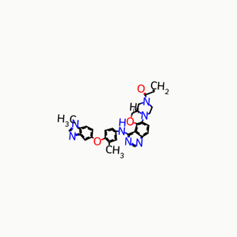 C=CC(=O)N1CCN2c3ccc4ncnc(Nc5ccc(Oc6ccc7c(c6)ncn7C)c(C)c5)c4c3OC[C@@H]2C1